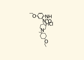 CCOc1ccc2[nH]c(=O)n(C3CCN(C4(C)CCC(OCC)CC4)CC3)c2c1.Cl